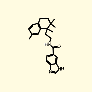 Cc1ccc2c(c1)C(C)(CCNC(=O)c1ccc3nc[nH]c3c1)C(C)(C)CC2